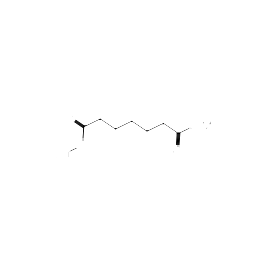 COC(=O)C[CH]CCCC(=O)OC(C)(C)C